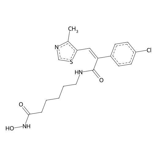 Cc1ncsc1/C=C(\C(=O)NCCCCCC(=O)NO)c1ccc(Cl)cc1